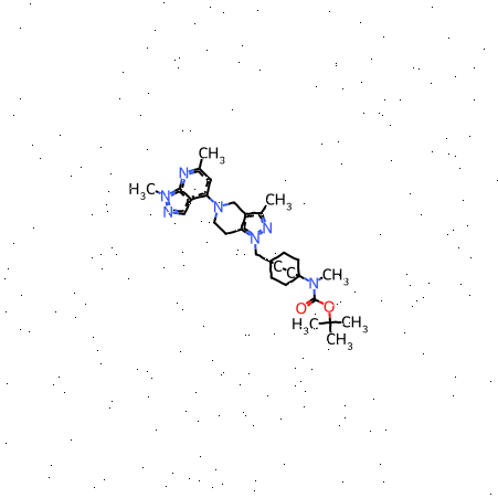 Cc1cc(N2CCc3c(c(C)nn3CC34CCC(N(C)C(=O)OC(C)(C)C)(CC3)CC4)C2)c2cnn(C)c2n1